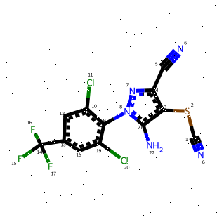 N#CSc1c(C#N)nn(-c2c(Cl)cc(C(F)(F)F)cc2Cl)c1N